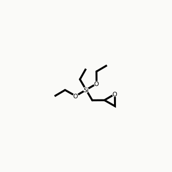 CCO[Si](CC)(CC1CO1)OCC